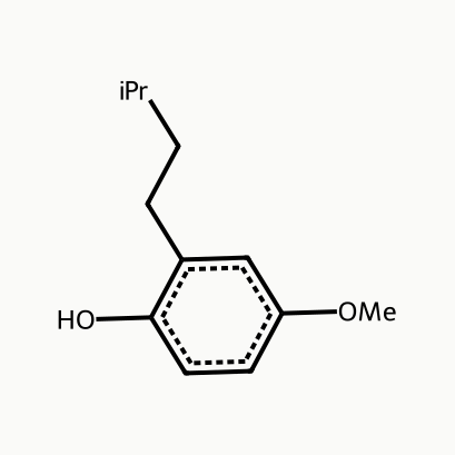 COc1ccc(O)c(CCC(C)C)c1